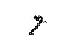 COc1cc(N2CCN(C3CCN(CCc4ccc(C5CCC(=O)NC5=O)cc4)CC3)CC2)ccc1Nc1ncc(Cl)c(Nc2ccccc2N(C)S(C)(=O)=O)n1